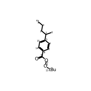 CC(CCI)c1ccc(C(=O)OOC(C)(C)C)cc1